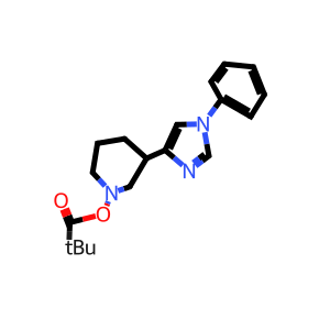 CC(C)(C)C(=O)ON1CCCC(c2cn(-c3ccccc3)cn2)C1